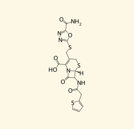 NC(=O)c1nnc(SCC2=C(C(=O)O)N3C(=O)C(NC(=O)Cc4cccs4)[C@H]3SC2)o1